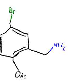 CC(=O)Oc1ccc(Br)cc1CN